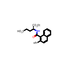 CCCc1ccc2ccccc2c1C(=O)N[C@@H](CCS(=O)(=O)O)C(=O)OCC